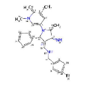 C=C1C(C)=CC(N2C(=C)C(=N)/C(=C\NCc3ccc(CC)cc3)C2c2ccccc2)=CN1C